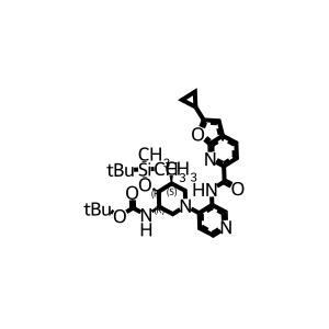 C[C@H]1CN(c2ccncc2NC(=O)c2ccc3cc(C4CC4)oc3n2)C[C@@H](NC(=O)OC(C)(C)C)[C@@H]1O[Si](C)(C)C(C)(C)C